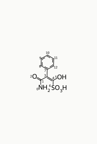 NC(=O)C(=C(O)S(=O)(=O)O)c1ccccc1